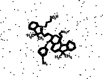 CC1(C)C(/C=C/C2=C(Sc3ccc(N)cc3)C(=C/C=C3\N(CCCS(=O)(=O)O)c4ccccc4C3(C)C)/CCC2)=[N+](CCCS(=O)(=O)O)c2ccccc21